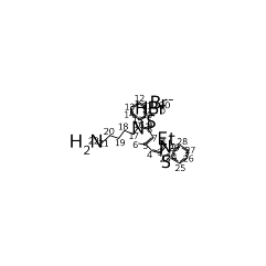 Br.CCN1C(=CC(C)=Cc2sc3ccccc3[n+]2CCCCCN)Sc2ccccc21.[Br-]